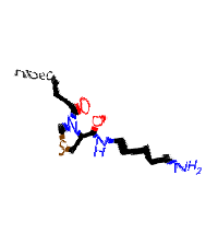 CCCCCCCCCCCCC(=O)N1CSCC1C(=O)NCCCCCN